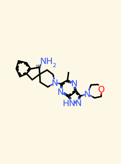 Cc1nc2c(N3CCOCC3)n[nH]c2nc1N1CCC2(CC1)Cc1ccccc1[C@H]2N